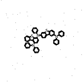 c1ccc(N(c2ccccc2)c2ccc3sc4cc(N(c5ccccc5)c5ccc(N(c6ccccc6)c6ccccc6)c6c5sc5ccccc56)ccc4c3c2)cc1